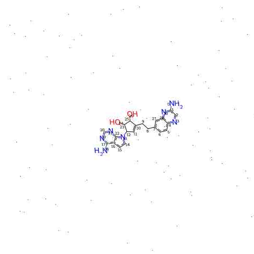 Nc1cnc2ccc(CCC3=CC(n4ccc5c(N)ncnc54)C(O)C3O)cc2n1